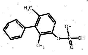 Cc1ccc(OP(=O)(O)O)c(C)c1-c1ccccc1